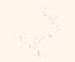 O=C1CCC(N2Cc3cc(CN4CCN(c5ccc(C(=C(CCCl)c6ccc(O)cc6)c6ccc(O)cc6)cc5)CC4)c(F)cc3C2=O)C(=O)N1